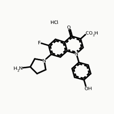 Cl.NC1CCN(c2cc3c(cc2F)c(=O)c(C(=O)O)cn3-c2ccc(O)cc2)C1